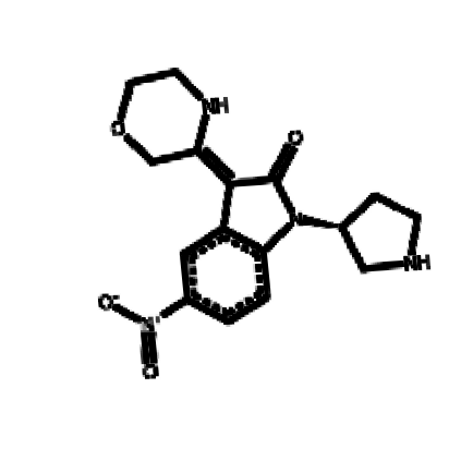 O=C1/C(=C2/COCCN2)c2cc([N+](=O)[O-])ccc2N1[C@H]1CCNC1